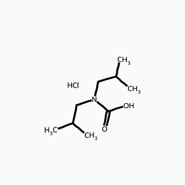 CC(C)CN(CC(C)C)C(=O)O.Cl